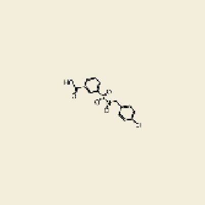 O=C(O)c1cccc(S(=O)(=O)N(Cl)Cc2ccc(Cl)cc2)c1